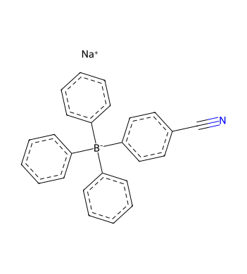 N#Cc1ccc([B-](c2ccccc2)(c2ccccc2)c2ccccc2)cc1.[Na+]